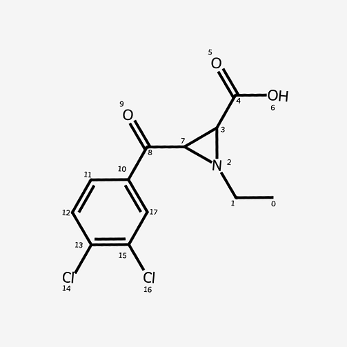 CCN1C(C(=O)O)C1C(=O)c1ccc(Cl)c(Cl)c1